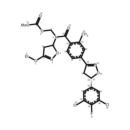 CCOC1=NOC(N(COC(=O)OC)C(=O)c2ccc(C3=NO[C@H](c4cc(Cl)c(F)c(Cl)c4)C3)cc2C)C1